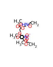 C=CC(=O)NCCOC(CCOc1cc([N+](=O)[O-])c(C(C)OC(=O)C=C)cc1OC)C(=O)OCC